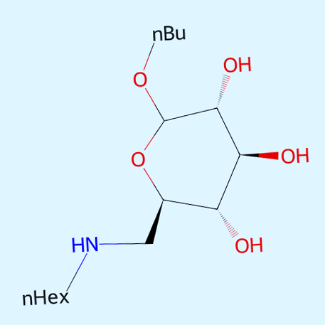 CCCCCCNC[C@H]1OC(OCCCC)[C@H](O)[C@@H](O)[C@@H]1O